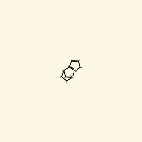 C1=CC2=[N+](C1)N1CCC2C1